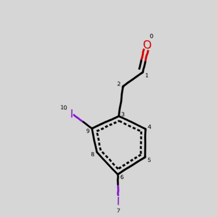 O=CCc1ccc(I)cc1I